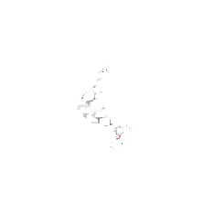 CC(C)Nc1cc(N2C3COCC2COC3)nc(-c2ccc(NC(=O)Nc3ccc(OCCN(C)C)cc3)cc2)n1